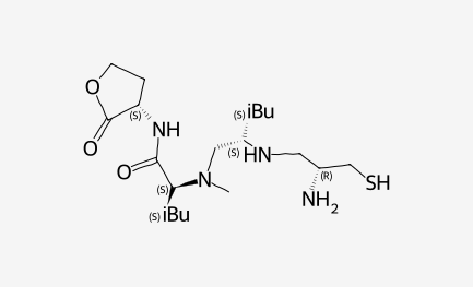 CC[C@H](C)[C@@H](C(=O)N[C@H]1CCOC1=O)N(C)C[C@@H](NC[C@@H](N)CS)[C@@H](C)CC